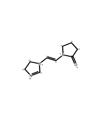 O=C1CCCN1C=CN1C=NCC1